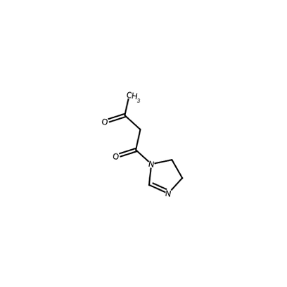 CC(=O)CC(=O)N1C=NCC1